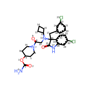 NC(=O)OC1CCN(C(=O)CN(C2CCC2)C2(Cc3cccc(Cl)c3)C(=O)Nc3cc(Cl)ccc32)CC1